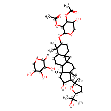 CC(=O)OC1C(O)COC(OC2CCC34CC35CCC3(C)C(C6(C)CC[C@@H](C(C)(C)O)O6)C(O)C[C@@]3(C)C5C[C@H](OC3OCC(O)C(O)C3O)C4C2(C)C)C1OC(C)=O